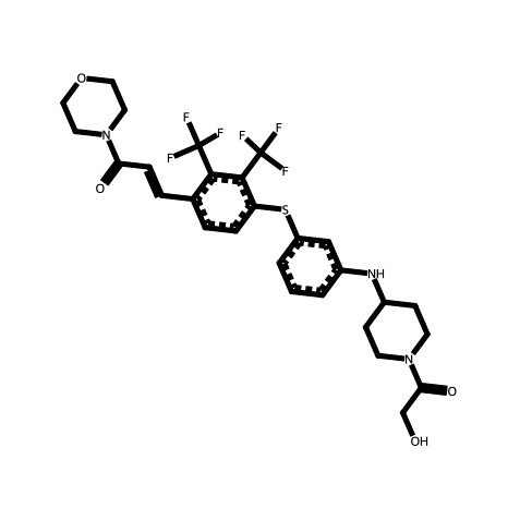 O=C(C=Cc1ccc(Sc2cccc(NC3CCN(C(=O)CO)CC3)c2)c(C(F)(F)F)c1C(F)(F)F)N1CCOCC1